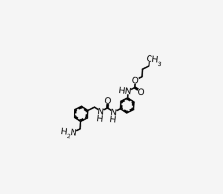 CCCCOC(=O)Nc1cccc(NC(=O)NCc2cccc(CN)c2)c1